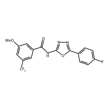 COc1cc(C(=O)Nc2nnc(-c3ccc(F)cc3)o2)cc(C(F)(F)F)c1